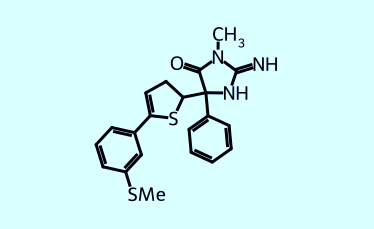 CSc1cccc(C2=CCC(C3(c4ccccc4)NC(=N)N(C)C3=O)S2)c1